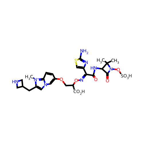 C[n+]1c(CC2CNC2)cn2cc(OCC(ON=C(C(=O)NC3C(=O)N(OS(=O)(=O)O)C3(C)C)c3csc(N)n3)C(=O)O)ccc21